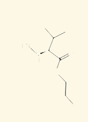 CCCOC(=O)[C@@H](NN)C(C)C